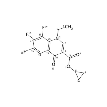 CCn1cc(C(=O)OC2CC2)c(=O)c2cc(F)c(F)c(F)c21